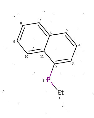 CC[P]c1cccc2ccccc12